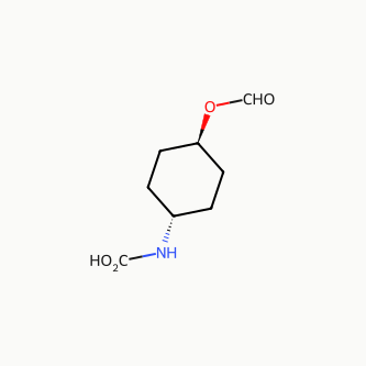 O=CO[C@H]1CC[C@H](NC(=O)O)CC1